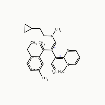 C=CC(=C1/N=CC=CN1C)/C(=C/N(C)CCC1CC1)C(=C)c1cc(C)ccc1CC